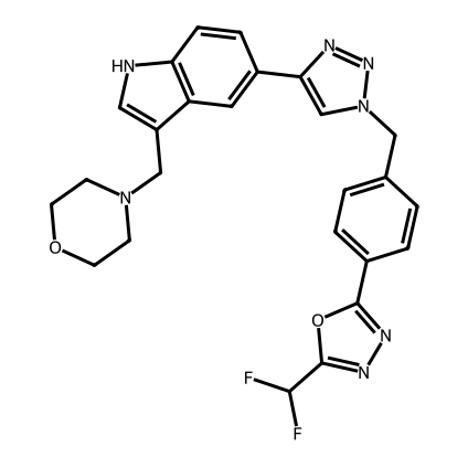 FC(F)c1nnc(-c2ccc(Cn3cc(-c4ccc5[nH]cc(CN6CCOCC6)c5c4)nn3)cc2)o1